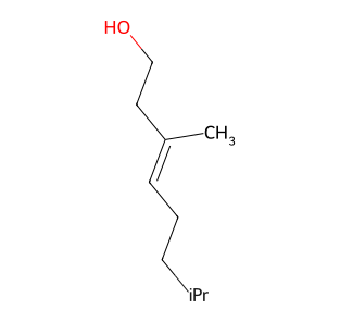 C/C(=C\CCC(C)C)CCO